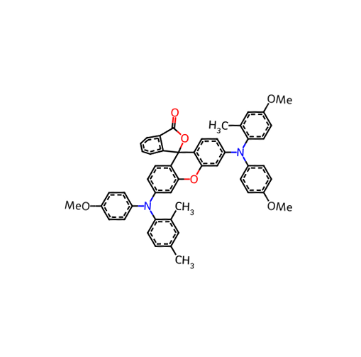 COc1ccc(N(c2ccc3c(c2)Oc2cc(N(c4ccc(OC)cc4)c4ccc(OC)cc4C)ccc2C32OC(=O)c3ccccc32)c2ccc(C)cc2C)cc1